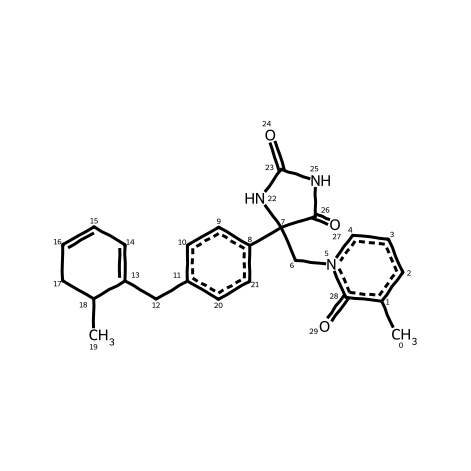 Cc1cccn(CC2(c3ccc(CC4=CC=CCC4C)cc3)NC(=O)NC2=O)c1=O